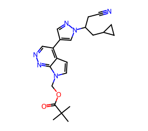 CC(C)(C)C(=O)OCn1ccc2c(-c3cnn(C(CC#N)CC4CC4)c3)cnnc21